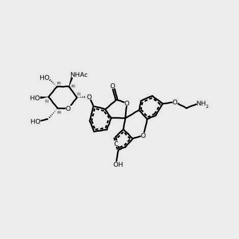 CC(=O)N[C@H]1[C@H](Oc2cccc3c2C(=O)OC32c3ccc(O)cc3Oc3cc(OCN)ccc32)O[C@H](CO)[C@@H](O)[C@@H]1O